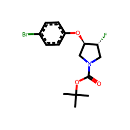 CC(C)(C)OC(=O)N1C[C@@H](F)[C@H](Oc2ccc(Br)cc2)C1